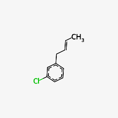 CC=CCc1cccc(Cl)c1